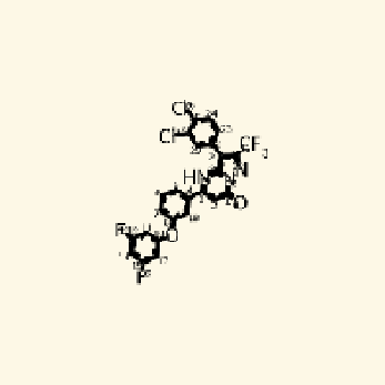 O=c1cc(-c2cccc(Oc3cc(F)cc(F)c3)c2)[nH]c2c(-c3ccc(Cl)c(Cl)c3)c(C(F)(F)F)nn12